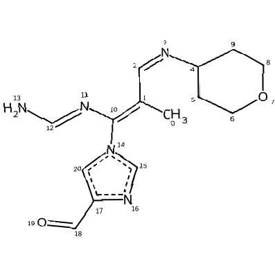 CC(/C=N\C1CCOCC1)=C(/N=C/N)n1cnc(C=O)c1